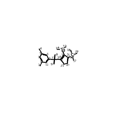 Cc1cc(C)cc(C(C)(C)C2=[C]([Ti]([CH3])[CH3])C([Si](C)(C)C)=CC2)c1